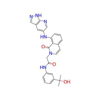 CC(C)(O)c1cccc(NC(=O)Cn2ccc3cccc(Nc4cnc5[nH]ncc5c4)c3c2=O)c1